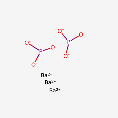 [Ba+2].[Ba+2].[Ba+2].[O-]P([O-])[O-].[O-]P([O-])[O-]